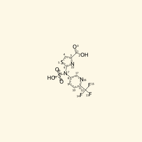 O=C(O)c1csc(N(c2ccc(C(F)(F)F)nc2)S(=O)(=O)O)n1